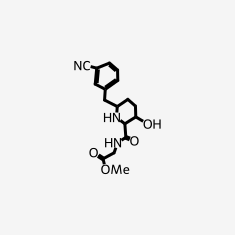 COC(=O)CNC(=O)C1NC(Cc2cccc(C#N)c2)CCC1O